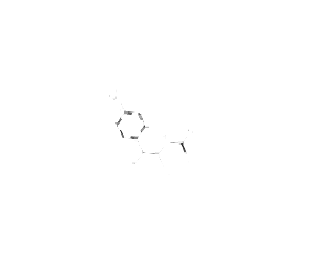 CC(c1ccc(C#N)cc1)C(OC(N)=O)C(C)(C)C